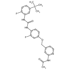 CC(=O)Nc1cc(COc2ccc(NC(=O)Nc3cc(S(C)(C)C)ccc3F)c(F)c2)ccn1